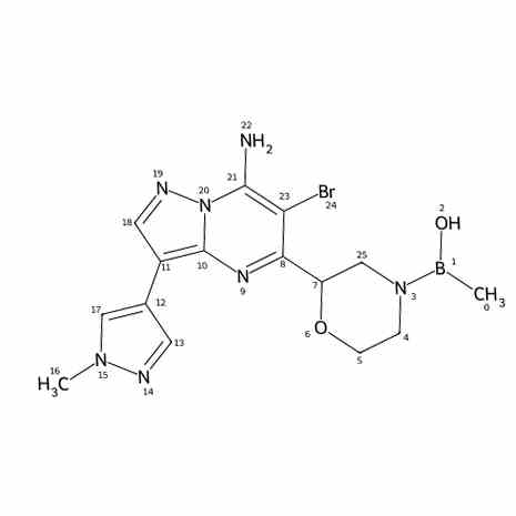 CB(O)N1CCOC(c2nc3c(-c4cnn(C)c4)cnn3c(N)c2Br)C1